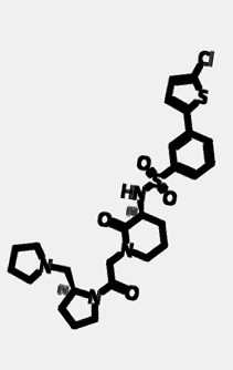 O=C1[C@@H](NS(=O)(=O)c2cccc(-c3ccc(Cl)s3)c2)CCCN1CC(=O)N1CCC[C@H]1CN1CCCC1